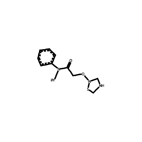 CC(C)N(C(=O)CON1CNCS1)c1ccccc1